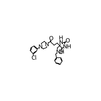 O=C1NC(=O)C(CCC(=O)N2CCN(c3cccc(Cl)c3)CC2)(CNCc2ccccc2)N1